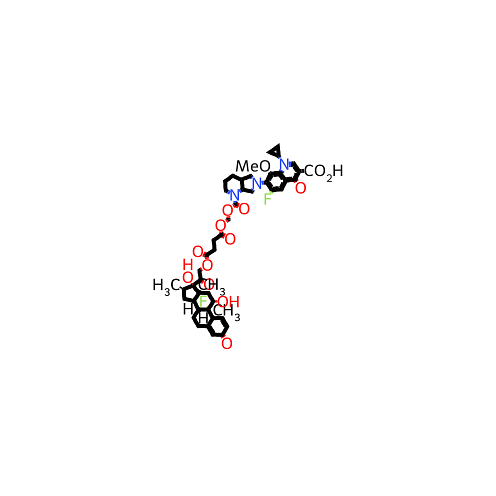 COc1c(N2CC3CCCN(C(=O)OCOC(=O)CCC(=O)OCC(=O)[C@]4(O)[C@@H](C)C[C@@H]5[C@H]6CCC7=CC(=O)C=C[C@@]7(C)[C@]6(F)[C@H](O)C[C@]54C)C3C2)c(F)cc2c(=O)c(C(=O)O)cn(C3CC3)c12